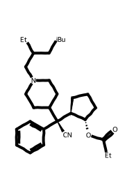 CCC(=O)O[C@H]1CCC[C@@H]1[C@](C#N)(c1ccccc1)C1CCN(CC(CC)CC(C)CC)CC1